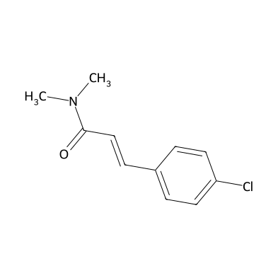 CN(C)C(=O)C=Cc1ccc(Cl)cc1